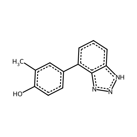 Cc1cc(-c2cccc3[nH]nnc23)ccc1O